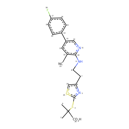 CC(C)(Sc1nc(CCNc2ncc(-c3ccc(F)cc3)cc2C#N)cs1)C(=O)O